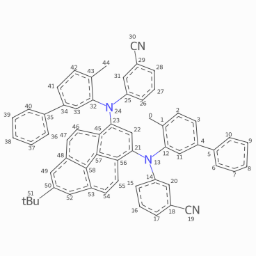 Cc1ccc(-c2ccccc2)cc1N(c1cccc(C#N)c1)c1cc(N(c2cccc(C#N)c2)c2cc(-c3ccccc3)ccc2C)c2ccc3cc(C(C)(C)C)cc4ccc1c2c43